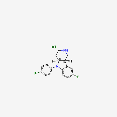 Cl.Fc1ccc(N2c3ccc(F)cc3[C@H]3CNCC[C@@H]32)cc1